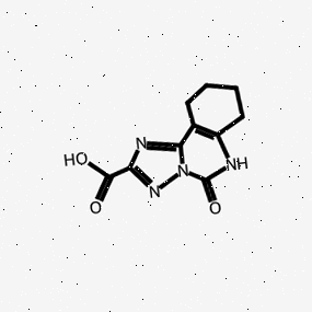 O=C(O)c1nc2c3c([nH]c(=O)n2n1)CCCC3